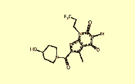 CCn1c(=O)c2c(C)c(C(=O)N3CCC(O)CC3)sc2n(CCC(F)(F)F)c1=O